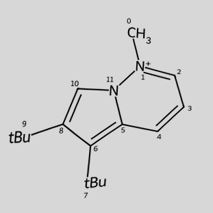 C[n+]1cccc2c(C(C)(C)C)c(C(C)(C)C)cn21